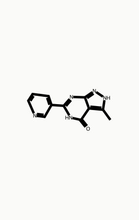 Cc1[nH]nc2nc(-c3cccnc3)[nH]c(=O)c12